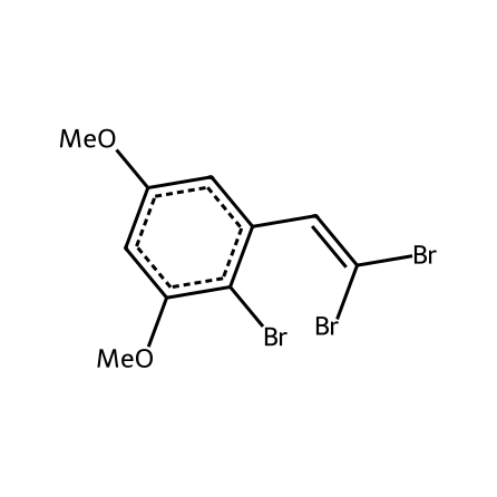 COc1cc(C=C(Br)Br)c(Br)c(OC)c1